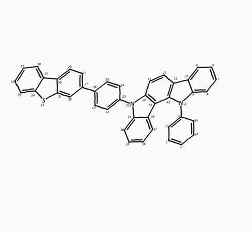 c1ccc(-n2c3ccccc3c3ccc4c(c5ccccc5n4-c4ccc(-c5ccc6c(c5)sc5ccccc56)cc4)c32)cc1